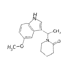 COc1ccc2[nH]cc(C(C)N3CCCCC3=O)c2c1